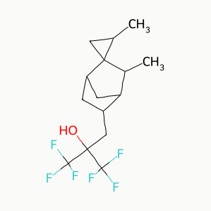 CC1CC12C1CC(CC(O)(C(F)(F)F)C(F)(F)F)C(C1)C2C